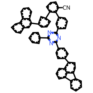 N#Cc1cccc(-c2cccc(-c3cc4ccccc4c4ccccc34)c2)c1-c1cccc(-c2nc(-c3ccccc3)nc(-c3ccc(-c4ccc5c6c(cccc46)-c4ccccc4-5)cc3)n2)c1